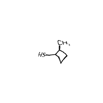 CC1CCC1S